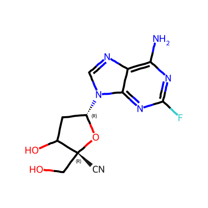 N#C[C@]1(CO)O[C@@H](n2cnc3c(N)nc(F)nc32)CC1O